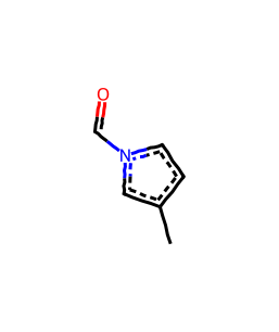 Cc1ccn(C=O)c1